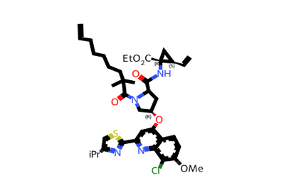 C=CCCCCCC(C)(C)C(=O)N1C[C@H](Oc2cc(-c3nc(C(C)C)cs3)nc3c(Cl)c(OC)ccc23)CC1C(=O)N[C@]1(C(=O)OCC)C[C@H]1C=C